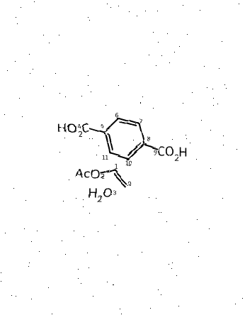 C=COC(C)=O.O.O=C(O)c1ccc(C(=O)O)cc1